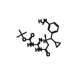 CC(C)(C)OC(=O)NC1=N[C@](C)(C(c2cccc(N)c2)C2CC2)CC(=O)N1